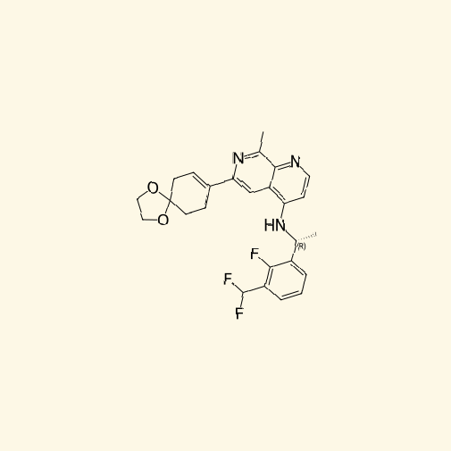 Cc1nc(C2=CCC3(CC2)OCCO3)cc2c(N[C@H](C)c3cccc(C(F)F)c3F)ccnc12